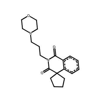 O=C1c2ccccc2C2(CCCC2)C(=O)N1CCCN1CCOCC1